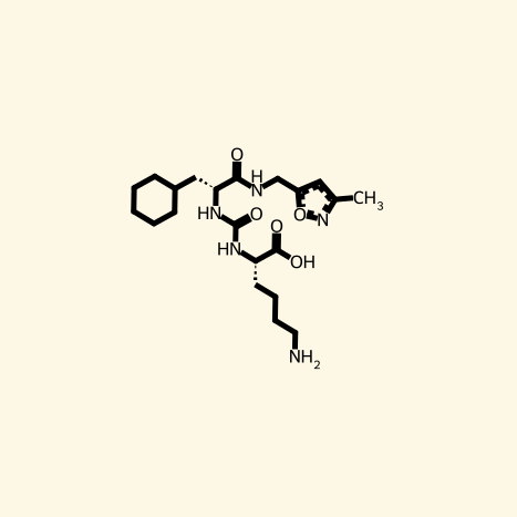 Cc1cc(CNC(=O)[C@@H](CC2CCCCC2)NC(=O)N[C@@H](CCCCN)C(=O)O)on1